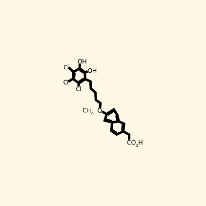 C.O=C(O)Cc1ccc2cc(OCCCCCc3c(O)c(O)c(Cl)c(Cl)c3Cl)ccc2c1